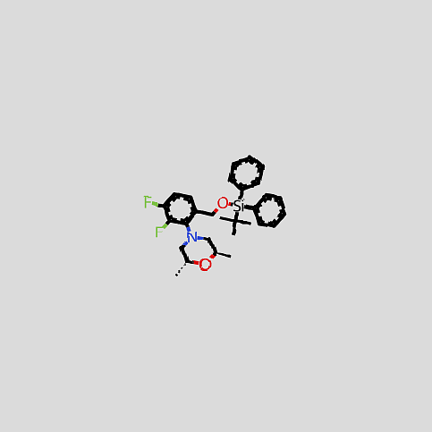 C[C@@H]1CN(c2c(CO[Si](c3ccccc3)(c3ccccc3)C(C)(C)C)ccc(F)c2F)C[C@@H](C)O1